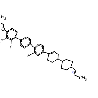 C/C=C/C1CCC(C2CC=C(c3ccc(-c4ccc(-c5ccc(OCCC)c(F)c5F)cc4)c(F)c3)CC2)CC1